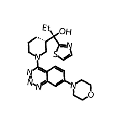 CC[C@@](O)(c1nccs1)[C@H]1CCCN(c2nnnc3cc(N4CCOCC4)ccc23)C1